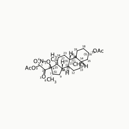 CC(=O)OCC(=O)[C@@]1(O[N+](=O)[O-])[C@@H](C)C[C@H]2[C@@H]3CC[C@H]4C[C@@H](OC(C)=O)CC[C@]4(C)[C@H]3CC[C@@]21C